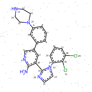 Nc1ncc(-c2cccc(N3CCNCC3)c2)cc1-c1nccn1-c1cccc(Cl)c1Cl